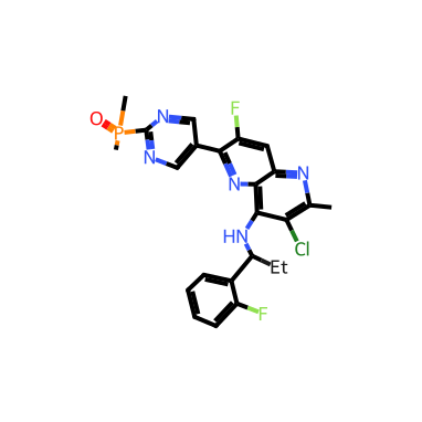 CCC(Nc1c(Cl)c(C)nc2cc(F)c(-c3cnc(P(C)(C)=O)nc3)nc12)c1ccccc1F